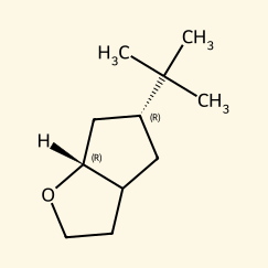 CC(C)(C)[C@@H]1CC2CCO[C@@H]2C1